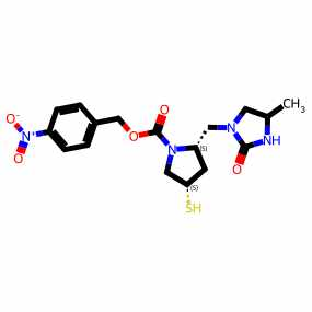 CC1CN(C[C@@H]2C[C@H](S)CN2C(=O)OCc2ccc([N+](=O)[O-])cc2)C(=O)N1